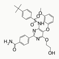 COc1cccc(Oc2c(NS(=O)(=O)c3ccc(C(C)(C)C)cc3)nc(-c3ccc(C(N)=O)cc3)nc2OCCO)c1